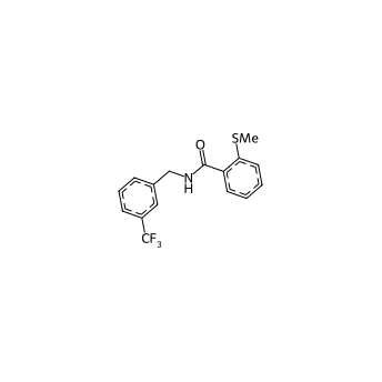 CSc1ccccc1C(=O)NCc1cccc(C(F)(F)F)c1